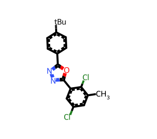 Cc1cc(Cl)cc(-c2nnc(-c3ccc(C(C)(C)C)cc3)o2)c1Cl